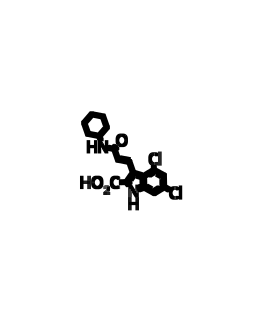 O=C(C=Cc1c(C(=O)O)[nH]c2cc(Cl)cc(Cl)c12)NC1CCCCC1